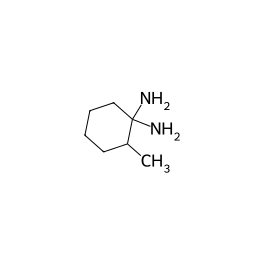 CC1CCCCC1(N)N